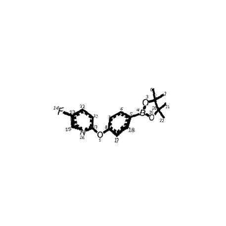 CC1(C)OB(c2ccc(Oc3ccc(F)cn3)cc2)OC1(C)C